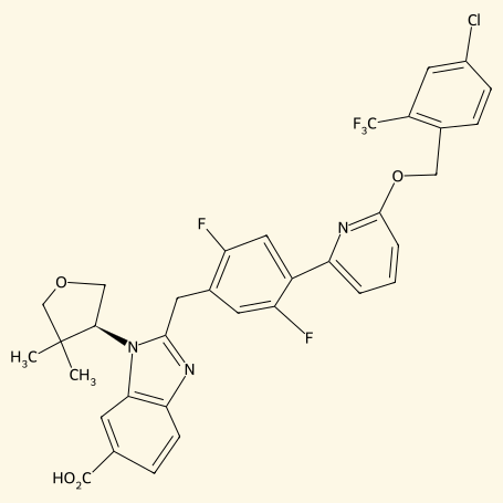 CC1(C)COC[C@H]1n1c(Cc2cc(F)c(-c3cccc(OCc4ccc(Cl)cc4C(F)(F)F)n3)cc2F)nc2ccc(C(=O)O)cc21